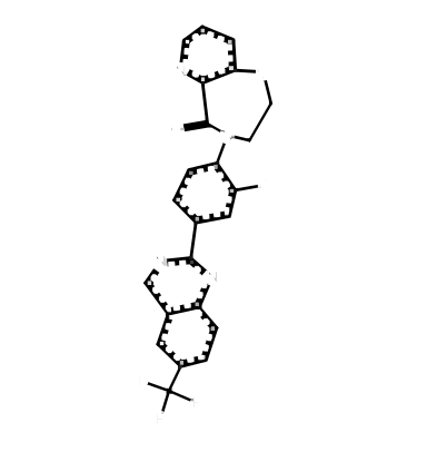 Cc1cc(-c2ncc3cc(C(F)(F)F)ccc3n2)ccc1N1CCOc2cccnc2C1=O